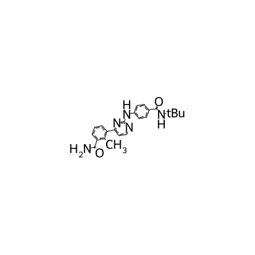 Cc1c(C(N)=O)cccc1-c1ccnc(Nc2ccc(C(=O)NC(C)(C)C)cc2)n1